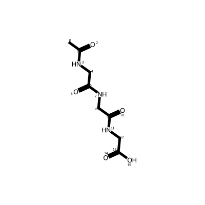 CC(=O)NCC(=O)NCC(=O)NCC(=O)O